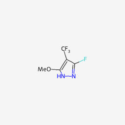 COc1[nH]nc(F)c1C(F)(F)F